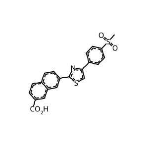 CS(=O)(=O)c1ccc(-c2csc(-c3ccc4ccc(C(=O)O)cc4c3)n2)cc1